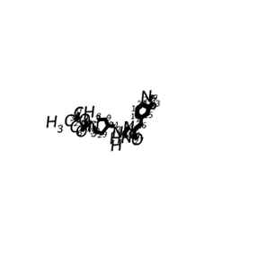 CC(C)(C)OC(=O)N1CCC(CNC2=N/C(=C\c3ccc4ncsc4c3)C(=O)N2)CC1